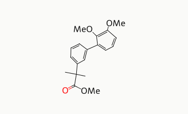 COC(=O)C(C)(C)c1cccc(-c2cccc(OC)c2OC)c1